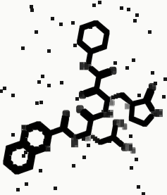 CC(C)C[C@H](NC(=O)c1cnc2ccccc2n1)C(=O)N[C@@H](C[C@@H]1CCNC1=O)C(=O)C(=O)NC1CCCCC1